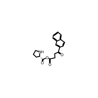 O=C(CCC(=O)c1ccc2ccccc2c1)OC(=O)[C@@H]1CCCN1